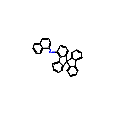 c1ccc2c(c1)-c1ccccc1C21c2ccccc2-c2c(Nc3cccc4ccccc34)cccc21